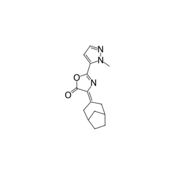 Cn1nccc1C1=NC(=C2CC3CCC(C2)C3)C(=O)O1